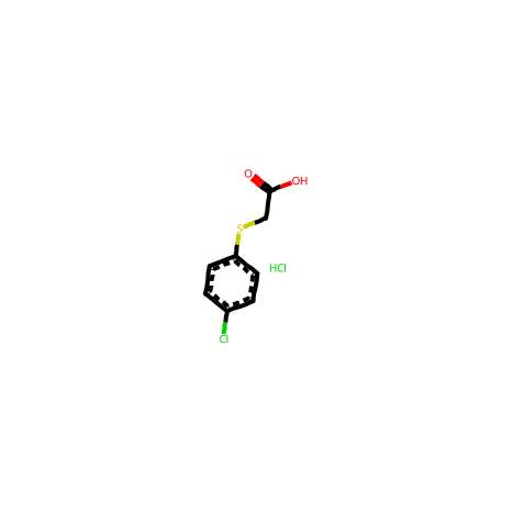 Cl.O=C(O)CSc1ccc(Cl)cc1